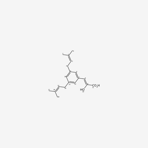 CC(C)=CCc1cc(C=C(O)C(=O)O)cc(CC=C(C)C)c1